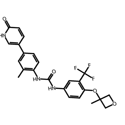 Cc1cc(-c2ccc(=O)[nH]c2)ccc1NC(=O)Nc1ccc(OC2(C)COC2)c(C(F)(F)F)c1